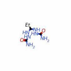 CCC(NNC(N)=O)NNC(N)=O